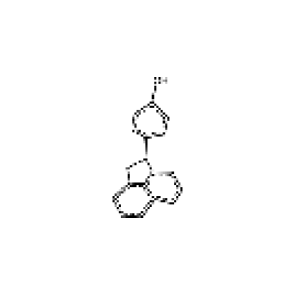 Oc1ccc([C@@H]2Cc3cccc4cccc2c34)cc1